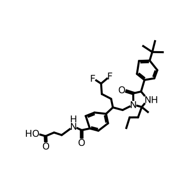 CCCC1(C)NC(c2ccc(C(C)(C)C)cc2)C(=O)N1CC(CCC(F)F)c1ccc(C(=O)NCCC(=O)O)cc1